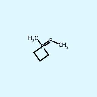 CP=P1(C)CCC1